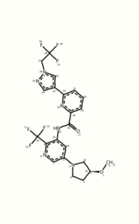 CO[C@H]1CCN(c2cnc(C(F)(F)F)c(NC(=O)c3cccc(-c4cnn(CC(F)(F)F)c4)n3)c2)C1